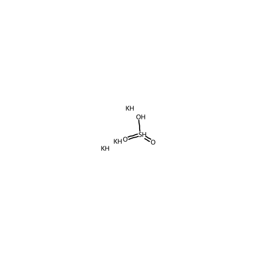 O=[SH](=O)O.[KH].[KH].[KH]